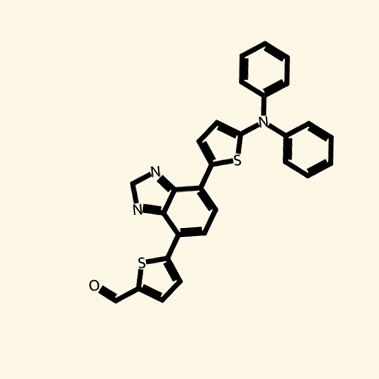 O=Cc1ccc(-c2ccc(-c3ccc(N(c4ccccc4)c4ccccc4)s3)c3c2=NCN=3)s1